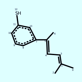 CC(C)=C/C=C(\C)c1cccc(S)c1